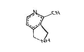 N#Cc1nccc2c1CNC2